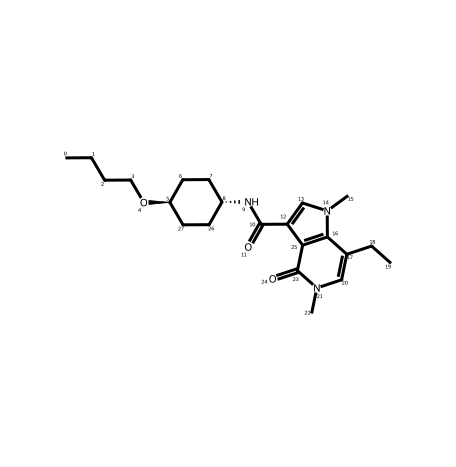 CCCCO[C@H]1CC[C@H](NC(=O)c2cn(C)c3c(CC)cn(C)c(=O)c23)CC1